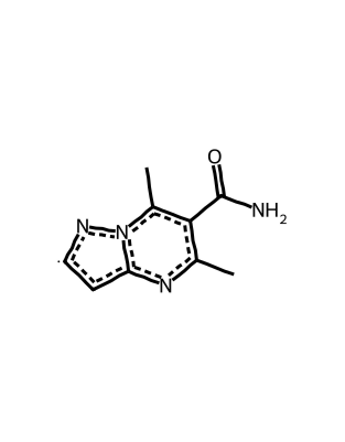 Cc1nc2c[c]nn2c(C)c1C(N)=O